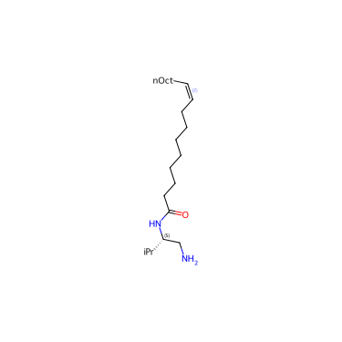 CCCCCCCC/C=C\CCCCCCCC(=O)N[C@H](CN)C(C)C